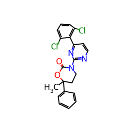 CC1(c2ccccc2)CCN(c2nccc(-c3c(Cl)cccc3Cl)n2)C(=O)O1